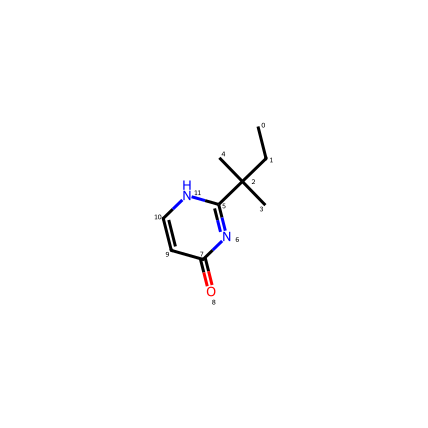 CCC(C)(C)c1nc(=O)cc[nH]1